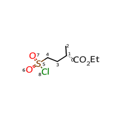 CCOC(=O)[C@@H](C)CCS(=O)(=O)Cl